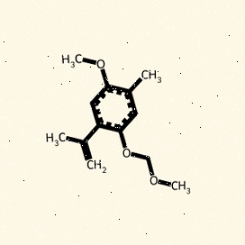 C=C(C)c1cc(OC)c(C)cc1OCOC